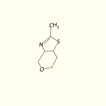 CC1=NC2COCCC2S1